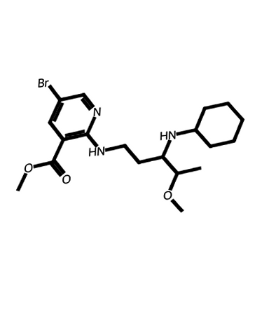 COC(=O)c1cc(Br)cnc1NCCC(NC1CCCCC1)C(C)OC